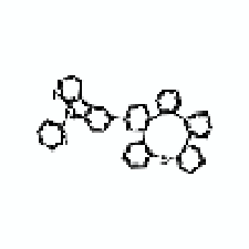 c1ccc(-n2c3ccc(-c4ccc5c(c4)-c4ccccc4Sc4ccccc4-c4ccccc4-c4ccccc4-5)cc3c3cccnc32)nc1